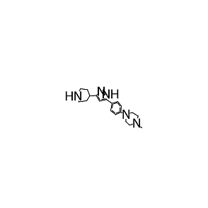 CN1CCN(c2ccc(-c3cc(C4CCNCC4)n[nH]3)cc2)CC1